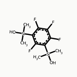 C[Si](C)(O)c1c(F)c(F)c(F)c([Si](C)(C)O)c1F